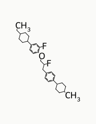 CCC1CCC(c2ccc(OCC(F)Cc3ccc(C4CCC(C)CC4)cc3)c(F)c2)CC1